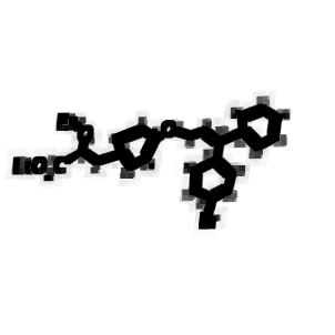 CCOC(=O)[C@H](Cc1ccc(OCC=C(c2ccccc2)c2ccc(Br)cc2)cc1)OCC